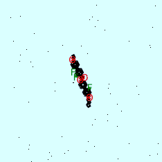 C=CCCOc1ccc(C2CCC(OC(=O)c3ccc(-c4ccc(OCC)cc4)c(F)c3F)CC2)c(F)c1